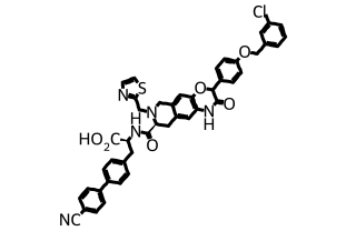 N#Cc1ccc(-c2ccc(C[C@H](NC(=O)[C@@H]3Cc4cc5c(cc4CN3Cc3nccs3)OC(c3ccc(OCc4cccc(Cl)c4)cc3)C(=O)N5)C(=O)O)cc2)cc1